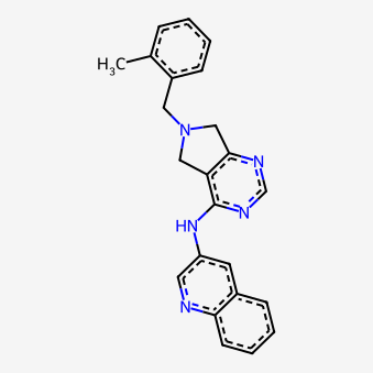 Cc1ccccc1CN1Cc2ncnc(Nc3cnc4ccccc4c3)c2C1